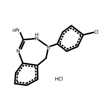 CCCC1=Nc2ccccc2CN(c2ccc(Cl)cc2)N1.Cl